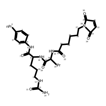 CCCc1ccc(NC(=O)C(CCCNC(N)=O)NC(=O)C(NC(=O)CCCCCN2C(=O)C=CC2=O)C(C)C)cc1